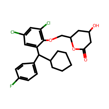 O=C1CC(O)CC(COc2c(Cl)cc(Cl)cc2C(c2ccc(F)cc2)C2CCCCC2)O1